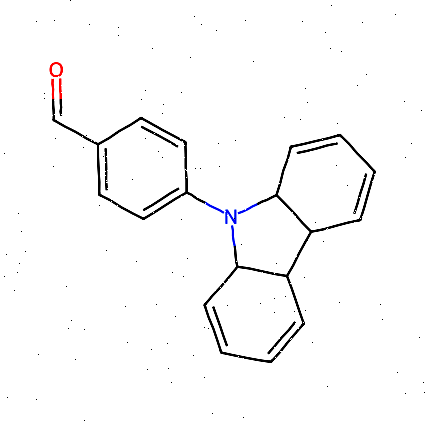 O=Cc1ccc(N2C3C=CC=CC3C3C=CC=CC32)cc1